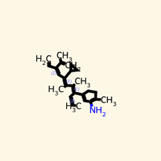 C=C/C(=C/C(=C(C)/C(C)=C(\C=C/C)C1=CC(N)=C(C)CC1)C1CC1)C(=C)C